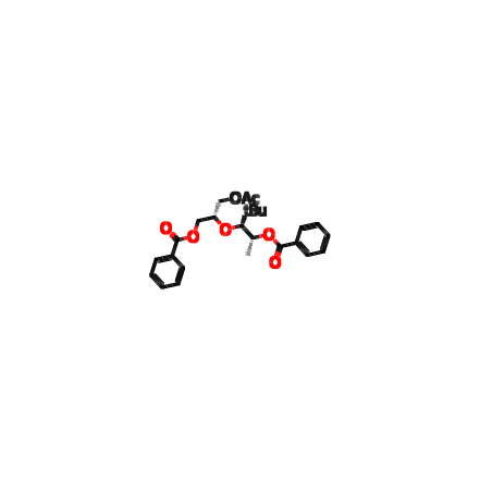 CC(=O)OC[C@@H](COC(=O)c1ccccc1)O[C@H]([C@@H](C)OC(=O)c1ccccc1)C(C)(C)C